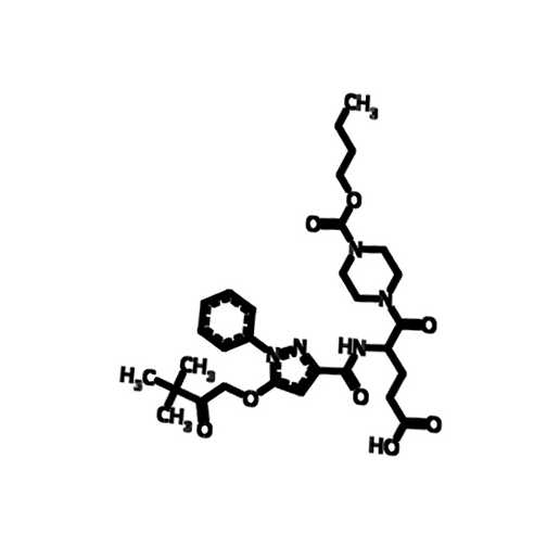 CCCCOC(=O)N1CCN(C(=O)C(CCC(=O)O)NC(=O)c2cc(OCC(=O)C(C)(C)C)n(-c3ccccc3)n2)CC1